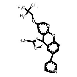 CC(C)(C)COc1cnc2c(c1)[C@@]1(COC(N)=N1)c1cc(-c3cccnc3)ccc1O2